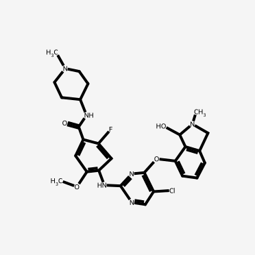 COc1cc(C(=O)NC2CCN(C)CC2)c(F)cc1Nc1ncc(Cl)c(Oc2cccc3c2C(O)N(C)C3)n1